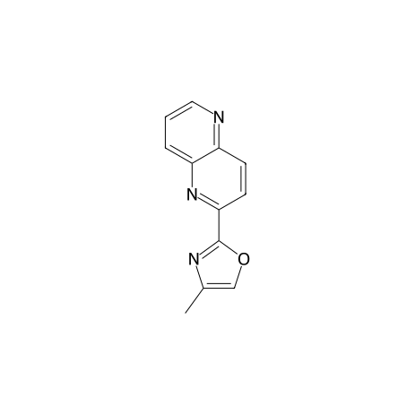 Cc1coc(-c2ccc3ncccc3n2)n1